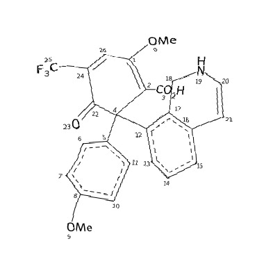 COC1=C(C(=O)O)C(c2ccc(OC)cc2)(c2cccc3c2CNC=C3)C(=O)C(C(F)(F)F)=C1